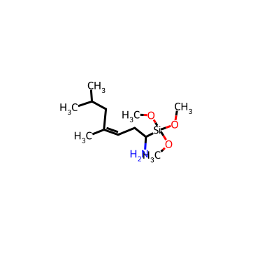 CO[Si](OC)(OC)C(N)CC=C(C)CC(C)C